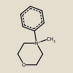 C[N+]1(c2ccccc2)CCOCC1